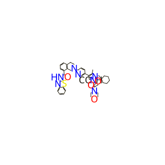 Cc1c(-c2ccc(N3CCc4cccc(C(=O)Nc5nc6ccccc6s5)c4C3)nc2C(=O)O)cnn1CC1(OCC(=O)N2CCOCC2)CCCCC1